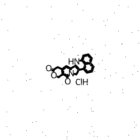 Cl.O=C1Cc2cc3n(c(=O)c2CO1)CC1=C3Nc2cccc3cccc1c23